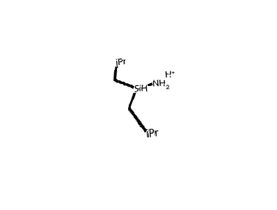 CC(C)C[SiH](N)CC(C)C.[H+]